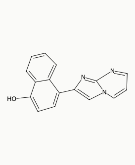 Oc1ccc(-c2cn3cccnc3n2)c2ccccc12